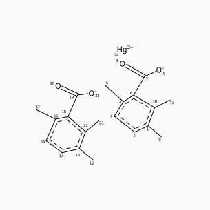 Cc1ccc(C)c(C(=O)[O-])c1C.Cc1ccc(C)c(C(=O)[O-])c1C.[Hg+2]